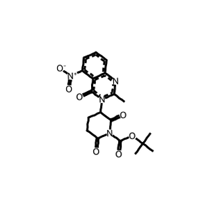 Cc1nc2cccc([N+](=O)[O-])c2c(=O)n1C1CCC(=O)N(C(=O)OC(C)(C)C)C1=O